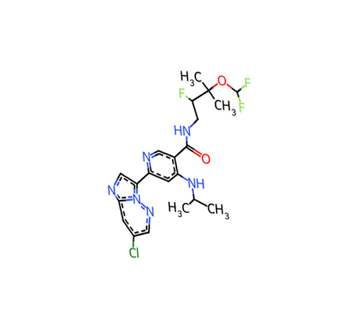 CC(C)Nc1cc(-c2cnc3cc(Cl)cnn23)ncc1C(=O)NCC(F)C(C)(C)OC(F)F